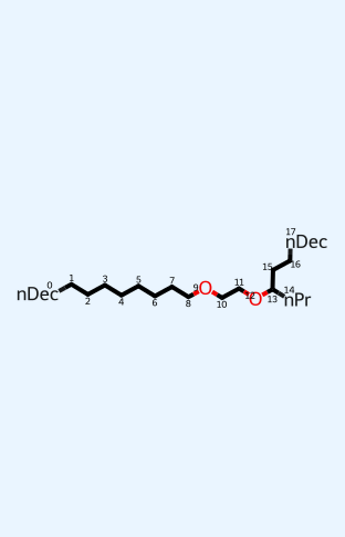 CCCCCCCCCCCCCCCCCCOCCOC(CCC)CCCCCCCCCCCC